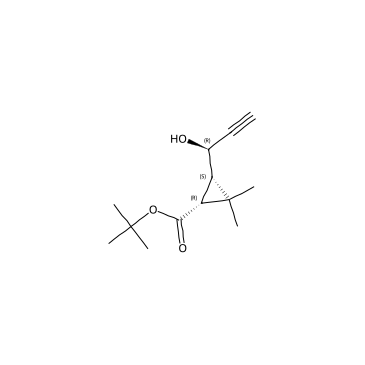 C#C[C@H](O)[C@H]1[C@@H](C(=O)OC(C)(C)C)C1(C)C